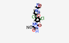 N#Cc1nn(-c2cc(Cl)c(OC3=NN(c4cnoc4)CC=C3)c(Cl)c2)c(=O)[nH]c1=O